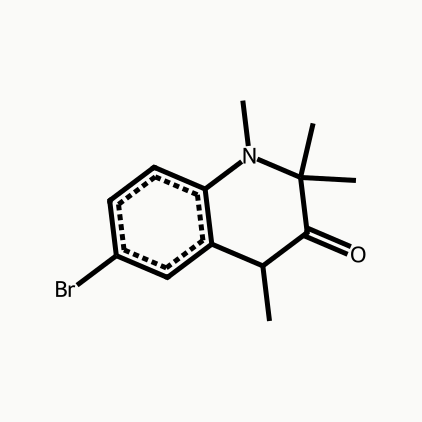 CC1C(=O)C(C)(C)N(C)c2ccc(Br)cc21